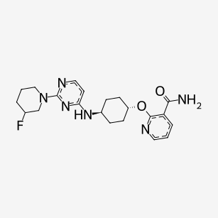 NC(=O)c1cccnc1O[C@H]1CC[C@H](Nc2ccnc(N3CCCC(F)C3)n2)CC1